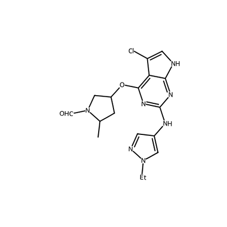 CCn1cc(Nc2nc(OC3CC(C)N(C=O)C3)c3c(Cl)c[nH]c3n2)cn1